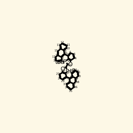 CC(C)(C)[P@@]1c2c(cccc2-c2c3ccccc3cc3ccccc23)O[C@H]1[C@@H]1Oc2cccc(-c3c4ccccc4cc4ccccc34)c2[P@]1C(C)(C)C